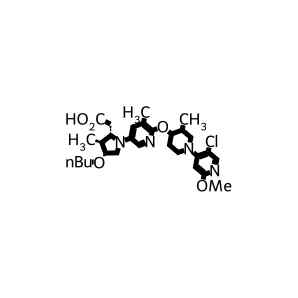 CCCCO[C@H]1CN(c2cnc(OC3CCN(c4cc(OC)ncc4Cl)CC3C)c(C)c2)[C@@H](CC(=O)O)[C@@H]1C